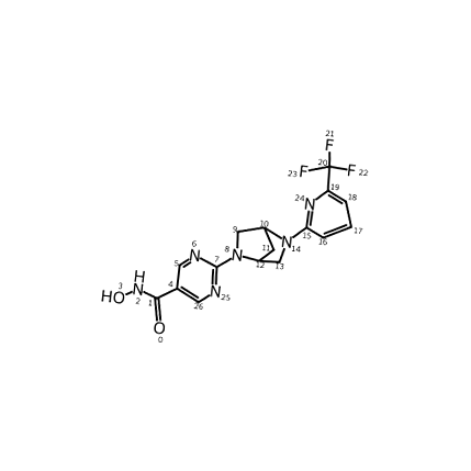 O=C(NO)c1cnc(N2CC3CC2CN3c2cccc(C(F)(F)F)n2)nc1